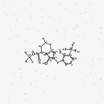 CC1Cc2nn(Cc3ccnc(C(F)(F)F)c3F)c(=O)n2C(C(=O)OC(C)(C)C)C1